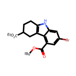 CCOC(=O)C1CCc2[nH]c3cc(Br)cc(C(=O)OC(C)(C)C)c3c2C1